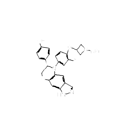 CCCN1CC(Oc2ccc(N3c4cc5cn[nH]c5cc4OC[C@H]3c3ccc(O)cc3)cc2F)C1